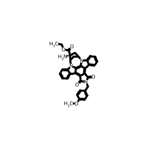 CCOC(=O)[C@]1(N)CC2CC1n1c3ccccc3c3c4c(c5c6ccccc6n2c5c31)C(=O)N(Cc1ccc(OC)cc1)C4=O